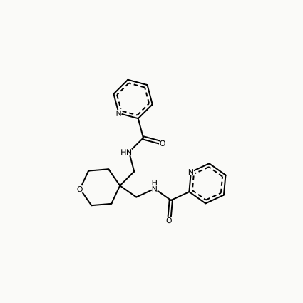 O=C(NCC1(CNC(=O)c2ccccn2)CCOCC1)c1ccccn1